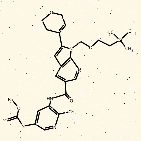 Cc1ncc(NC(=O)OC(C)(C)C)cc1NC(=O)c1cnc2c(c1)cc(C1=CCOCC1)n2COCC[Si](C)(C)C